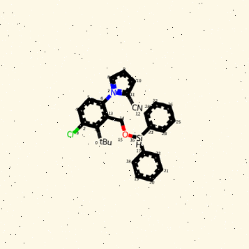 CC(C)(C)c1c(Cl)ccc(-n2cccc2C#N)c1CO[SiH](c1ccccc1)c1ccccc1